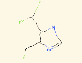 FCC1N=[C][N]C1C(F)F